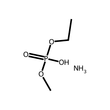 CCOP(=O)(O)OC.N